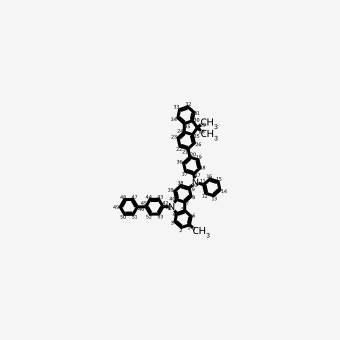 Cc1ccc2c(c1)c1cc(N(c3ccccc3)c3ccc(-c4ccc5c(c4)C(C)(C)c4ccccc4-5)cc3)ccc1n2-c1ccc(-c2ccccc2)cc1